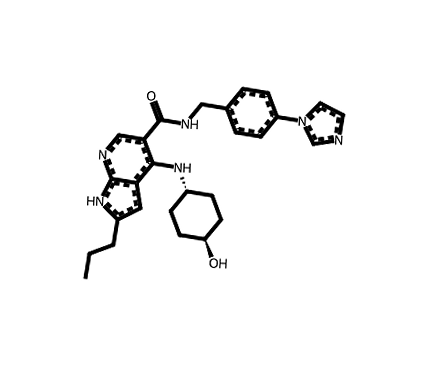 CCCc1cc2c(N[C@H]3CC[C@H](O)CC3)c(C(=O)NCc3ccc(-n4ccnc4)cc3)cnc2[nH]1